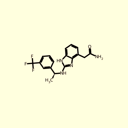 C[C@H](Nc1nc2c(CC(N)=O)cccc2[nH]1)c1cccc(C(F)(F)F)c1